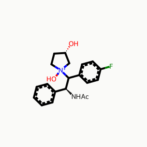 CC(=O)N[C@@H](c1ccccc1)C(c1ccc(F)cc1)[N+]1(O)CC[C@H](O)C1